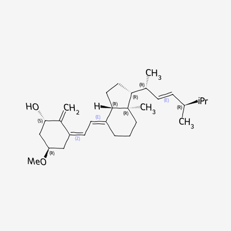 C=C1/C(=C\C=C2/CCC[C@]3(C)[C@@H]([C@H](C)/C=C/[C@H](C)C(C)C)CC[C@@H]23)C[C@@H](OC)C[C@@H]1O